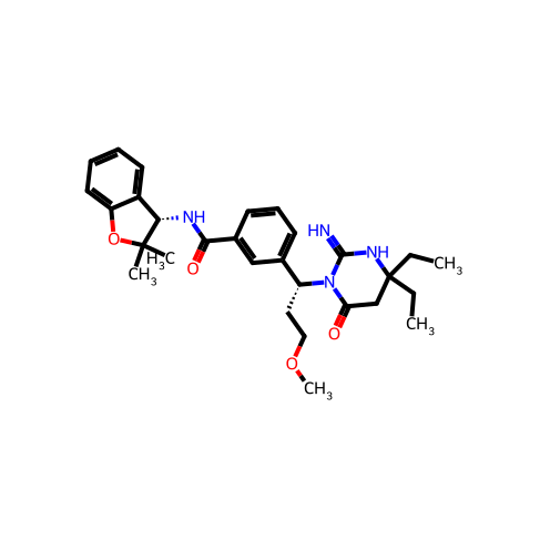 CCC1(CC)CC(=O)N([C@H](CCOC)c2cccc(C(=O)N[C@H]3c4ccccc4OC3(C)C)c2)C(=N)N1